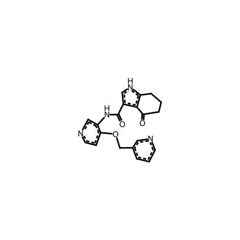 O=C(Nc1cnccc1OCc1cccnc1)c1c[nH]c2c1C(=O)CCC2